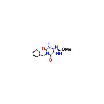 COc1nc2[nH]c(=O)n(Cc3ccccc3)c(=O)c2[nH]1